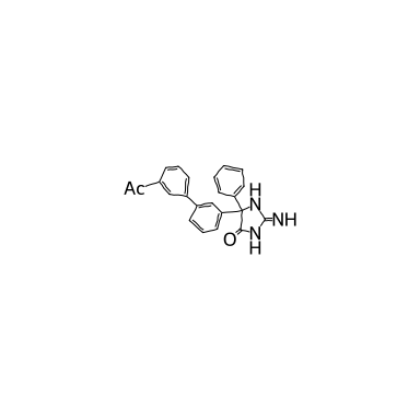 CC(=O)c1cccc(-c2cccc(C3(c4ccccc4)NC(=N)NC3=O)c2)c1